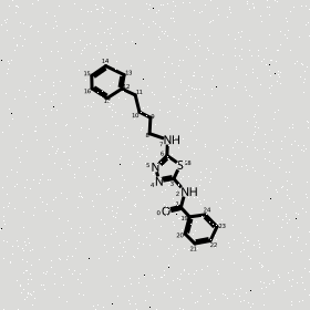 O=C(Nc1nnc(NCCCCc2ccccc2)s1)c1ccccc1